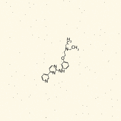 CCN(CC)CCOc1cccc(Nc2nccc(-c3cccnc3)n2)c1